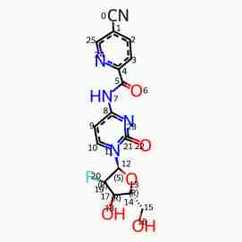 N#Cc1ccc(C(=O)Nc2ccn([C@H]3O[C@H](CO)[C@@H](O)[C@H]3F)c(=O)n2)nc1